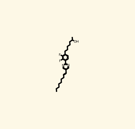 CCCCCCCC=Cc1cnc(-c2ccc(CCCCCC(C)O)c(F)c2F)nc1